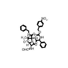 CC1(C)[S+]([O-])[C@@H]2[C@H](NC=O)C(=O)N2[C@@]1(NC(=O)C(NC(=O)OCc1ccc([N+](=O)[O-])cc1)c1ccccc1)C(=O)OCc1ccccc1